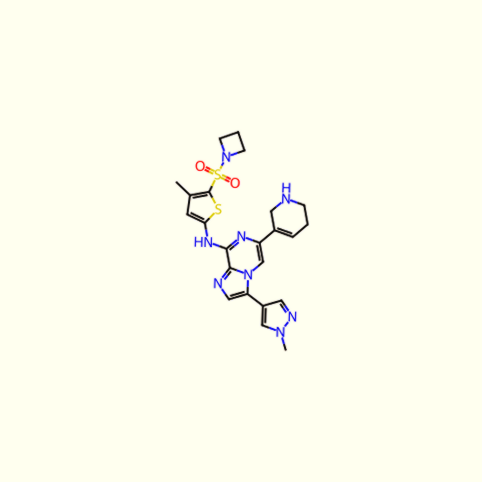 Cc1cc(Nc2nc(C3=CCCNC3)cn3c(-c4cnn(C)c4)cnc23)sc1S(=O)(=O)N1CCC1